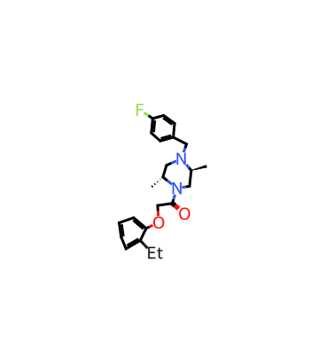 CCc1ccccc1OCC(=O)N1C[C@H](C)N(Cc2ccc(F)cc2)C[C@H]1C